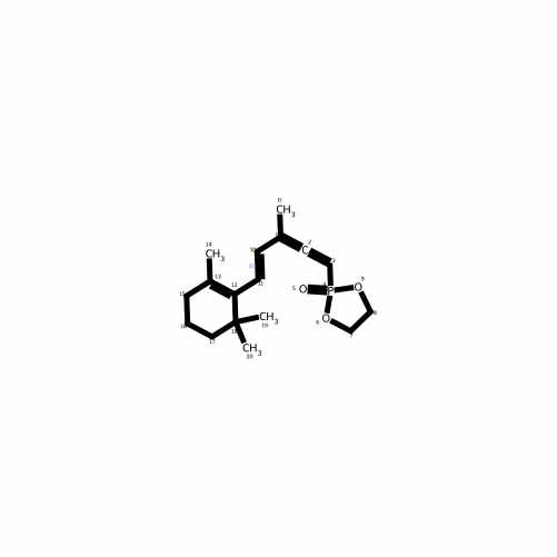 CC(=C=CP1(=O)OCCO1)/C=C/C1=C(C)CCCC1(C)C